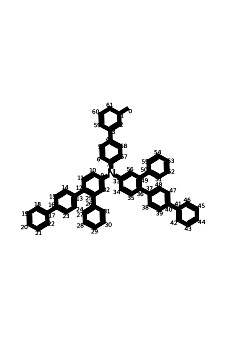 CC1C=C(c2ccc(N(c3ccc(-c4ccc(-c5ccccc5)cc4)c(-c4ccccc4)c3)c3ccc(-c4ccc(-c5ccccc5)cc4)c(-c4ccccc4)c3)cc2)C=CC1